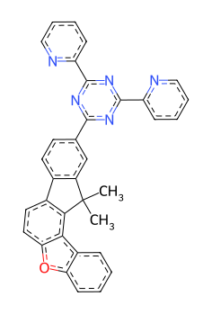 CC1(C)c2cc(-c3nc(-c4ccccn4)nc(-c4ccccn4)n3)ccc2-c2ccc3oc4ccccc4c3c21